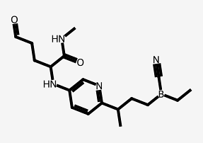 CCB(C#N)CCC(C)c1ccc(NC(CCC=O)C(=O)NC)cn1